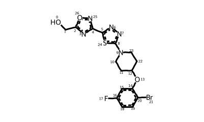 OCc1nc(-c2nnc(N3CCC(Oc4cc(F)ccc4Br)CC3)s2)no1